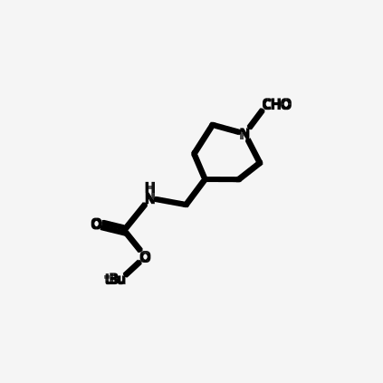 CC(C)(C)OC(=O)NCC1CCN(C=O)CC1